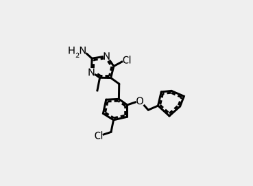 Cc1nc(N)nc(Cl)c1Cc1ccc(CCl)cc1OCc1ccccc1